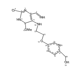 COC1NC(Cl)=NC(C=N)=C1NCCOc1ccc(CO)nc1